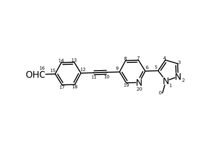 Cn1nccc1-c1ccc(C#Cc2ccc(C=O)cc2)cn1